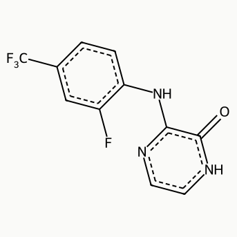 O=c1[nH]ccnc1Nc1ccc(C(F)(F)F)cc1F